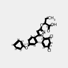 CCC(Oc1cc(-c2ccc(Oc3ccccc3)cc2)n(-c2ccc(Cl)cc2Cl)n1)C(=O)O